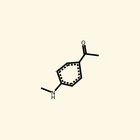 CNc1[c]cc(C(C)=O)cc1